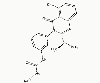 CONC(=O)Nc1cccc(-n2c([C@H](C)N)nc3cccc(Cl)c3c2=O)c1